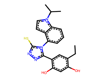 CCc1cc(-c2nnc(S)n2-c2cccc3c2ccn3C(C)C)c(O)cc1O